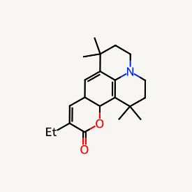 CCC1=CC2C=C3C4=C(C2OC1=O)C(C)(C)CCN4CCC3(C)C